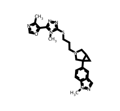 Cc1ncoc1-c1nnc(SCCCN2CC3CC3(c3ccc4c(cnn4C)c3)C2)n1C